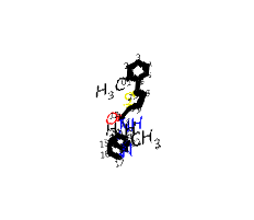 Cc1ccccc1-c1ccc(C(=O)N[C@@H]2C3CCN(CC3)[C@H]2C)s1